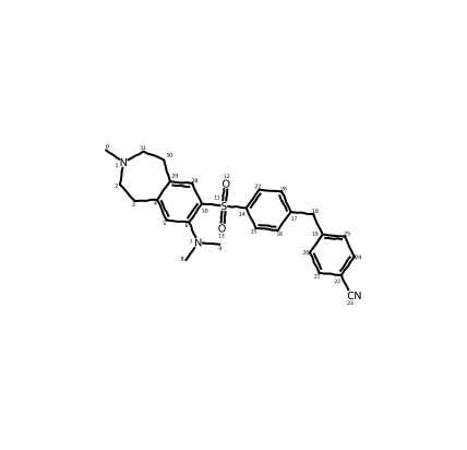 CN1CCc2cc(N(C)C)c(S(=O)(=O)c3ccc(Cc4ccc(C#N)cc4)cc3)cc2CC1